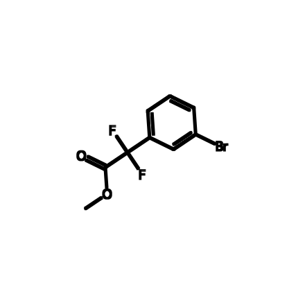 COC(=O)C(F)(F)c1cccc(Br)c1